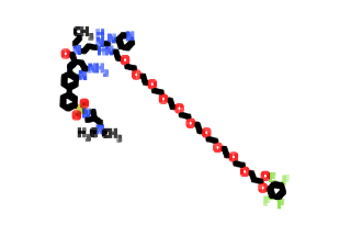 CCCN(CCCN/C(=N/c1cccnc1)NCCOCCOCCOCCOCCOCCOCCOCCOCCOCCOCCC(=O)Oc1c(F)c(F)cc(F)c1F)C(=O)C1=Cc2ccc(-c3cccc(S(=O)(=O)N4CC(CN(C)C)C4)c3)cc2N=C(N)C1